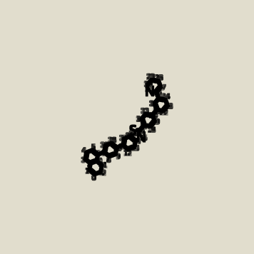 C1=Cc2cccc(-c3ccc(-c4ccc5nc(-c6ccc(-c7cccc(-c8ccccn8)c7)cc6)sc5c4)cc3)c2CC1